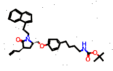 C=CC[C@@H]1C[C@@H](COc2ccc(CCCCNC(=O)OC(C)(C)C)cc2)N(CCc2cccc3ccccc23)C1=O